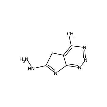 Cc1nnnc2c1CC(NN)=N2